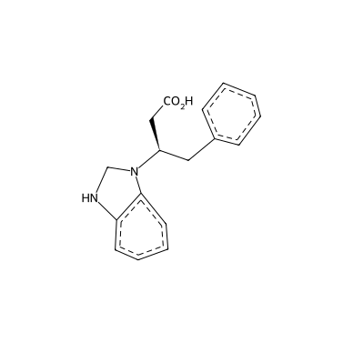 O=C(O)C[C@@H](Cc1ccccc1)N1CNc2ccccc21